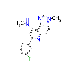 CNc1cc(-c2cccc(F)c2)nc2ccc3c(ncn3C)c12